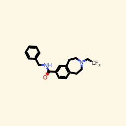 O=C(NCc1ccccc1)c1ccc2c(c1)CCN(CC(F)(F)F)CC2